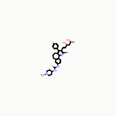 CC[C@H](O)C[C@H](O)/C=C/c1c(C(C)C)nc2c(c1-c1ccc(F)cc1)CCCc1cc(NC(=O)NC3CCN(C)CC3)ccc1-2